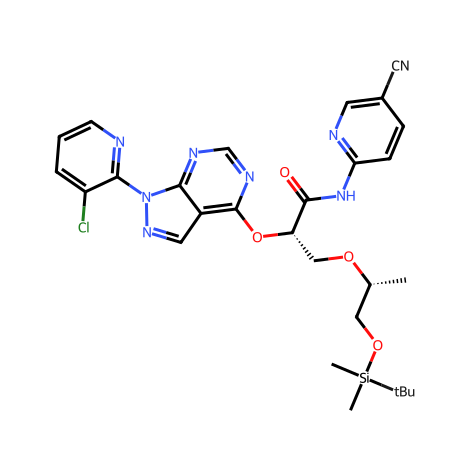 C[C@H](CO[Si](C)(C)C(C)(C)C)OC[C@H](Oc1ncnc2c1cnn2-c1ncccc1Cl)C(=O)Nc1ccc(C#N)cn1